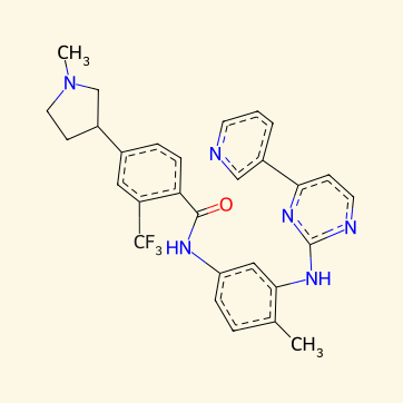 Cc1ccc(NC(=O)c2ccc(C3CCN(C)C3)cc2C(F)(F)F)cc1Nc1nccc(-c2cccnc2)n1